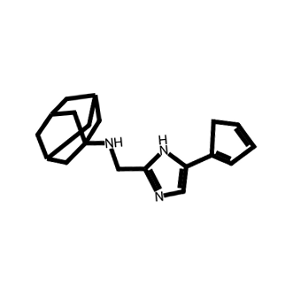 C1=CCC(c2cnc(CNC34CC5CC(CC(C5)C3)C4)[nH]2)=C1